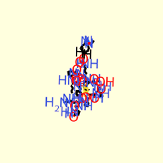 CCCC[C@@H](NC(=O)[C@@H]1CCCN1C(=O)CNC(=O)[C@H](CCCCNC(=O)OC[C@@H]1[C@@H]2CCc3nnn(CC)c3CC[C@@H]21)NC(=O)[C@@H]1CSSC[C@H](NC(=O)[C@@H]2CCCN2C(=O)[C@H](CCCNC(=N)N)NC(=O)[C@@H]2CCC(=O)N2)C(=O)N[C@@H](CC(C)C)C(=O)N[C@@H](CO)C(=O)N1)C(=O)NCCc1ccccc1